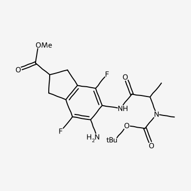 COC(=O)C1Cc2c(F)c(N)c(NC(=O)C(C)N(C)C(=O)OC(C)(C)C)c(F)c2C1